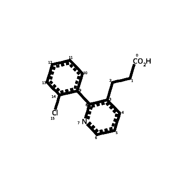 O=C(O)CCc1cccnc1-c1ccccc1Cl